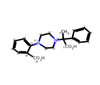 CC(C(=O)O)(c1ccccc1)N1CCN(c2ccccc2C(=O)O)CC1